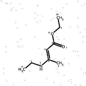 CCNC(C)=CC(=O)OCC